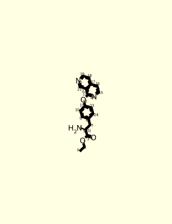 CCOC(=O)[C@@H](N)Cc1ccc(Oc2nccc3ccncc23)cc1